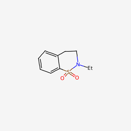 CCN1CCc2ccccc2S1(=O)=O